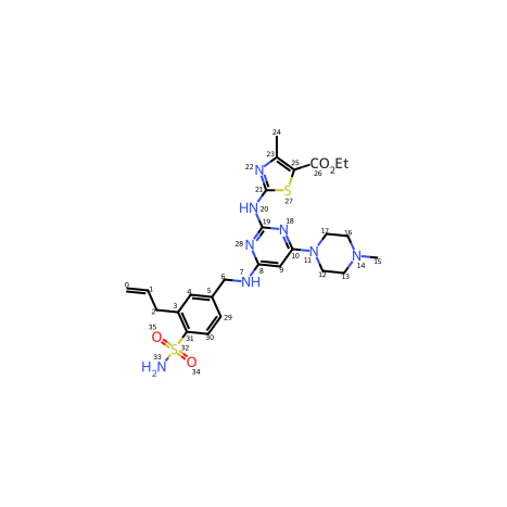 C=CCc1cc(CNc2cc(N3CCN(C)CC3)nc(Nc3nc(C)c(C(=O)OCC)s3)n2)ccc1S(N)(=O)=O